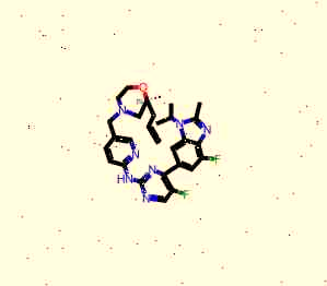 C=CC[C@@]1(C)CN(Cc2ccc(Nc3ncc(F)c(-c4cc(F)c5nc(C)n(C(C)C)c5c4)n3)nc2)CCO1